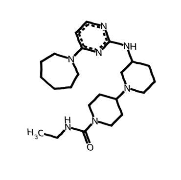 CCNC(=O)N1CCC(N2CCCC(Nc3nccc(N4CCCCCC4)n3)C2)CC1